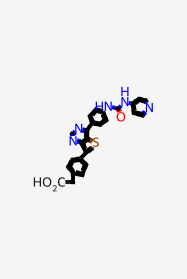 O=C(O)Cc1ccc(-c2csc3c(-c4ccc(NC(=O)Nc5ccncc5)cc4)ncnc23)cc1